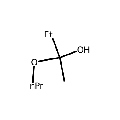 CCCOC(C)(O)CC